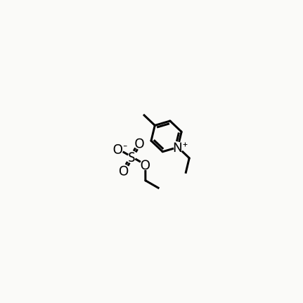 CCOS(=O)(=O)[O-].CC[n+]1ccc(C)cc1